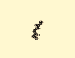 COc1cc(-[n+]2cc(C)cc3cc(-c4cnc(C(C)C)c(OCC(C)c5ncc(-c6cccc7ccc(C(=O)O)nc67)cc5O)c4)ccc32)c2ccc(-c3cnc(C(C)C)c(O)c3)cc2n1